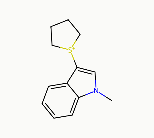 Cn1cc([S+]2CCCC2)c2ccccc21